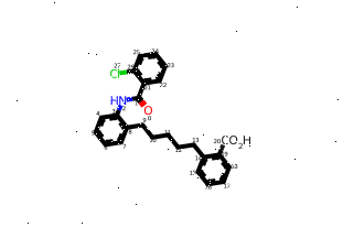 O=C(Nc1ccccc1CCCCCc1ccccc1C(=O)O)c1ccccc1Cl